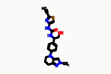 C#Cc1nc(NC(=O)NC(CO)c2ccc(N3CCCc4nn(C)cc43)cc2)cs1